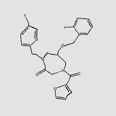 O=C1CN(C(=O)c2ccco2)CC(OCc2ccccc2F)CN1Cc1ccc(F)cc1